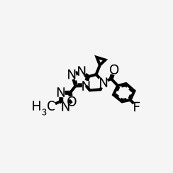 Cc1noc(-c2nnc3n2CCN(C(=O)c2ccc(F)cc2)C3C2CC2)n1